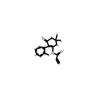 C#CC(=O)OC1=C(c2ccccc2C)C(=O)CC(C)(C)C1